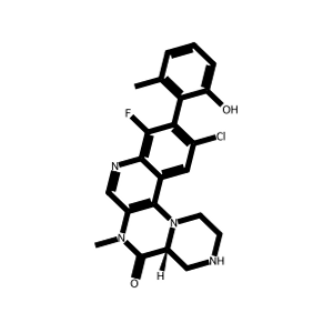 Cc1cccc(O)c1-c1c(Cl)cc2c3c(cnc2c1F)N(C)C(=O)[C@H]1CNCCN31